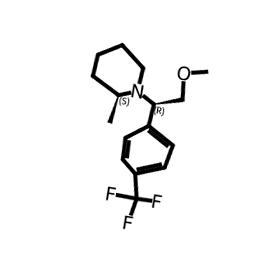 COC[C@@H](c1ccc(C(F)(F)F)cc1)N1CCCC[C@@H]1C